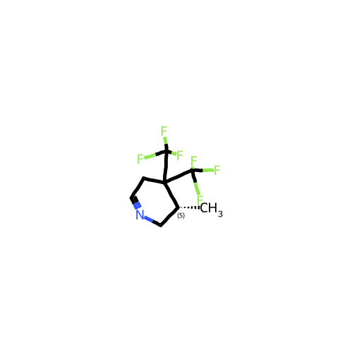 C[C@@H]1CN=CCC1(C(F)(F)F)C(F)(F)F